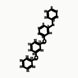 c1ccc(Cc2cccc(Oc3cccc(Oc4ccccc4)c3)c2)cc1